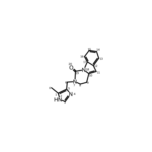 Cc1[nH]cnc1CN1CCc2cc3ccccc3n2C1=O